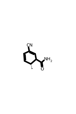 C[C@@H]1C=CC(C#N)=CC1C(N)=O